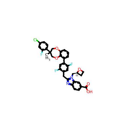 CC1(c2ccc(Cl)cc2F)COc2cccc(-c3cc(F)c(Cc4nc5ccc(C(=O)O)cc5n4C[C@@H]4CCO4)cc3F)c2OC1